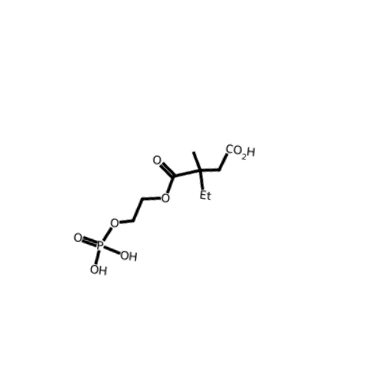 CCC(C)(CC(=O)O)C(=O)OCCOP(=O)(O)O